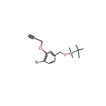 C#CCOc1cc(CO[Si](C)(C)C(C)(C)C)ccc1Br